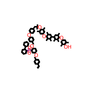 C=Cc1ccc(COc2ccc(OCc3ccc(Oc4ccc(CC(C)(C)Oc5c(C)cc(Oc6c(C)cc(-c7cc(C)c(Oc8cc(C)c(O)c(C)c8)c(C)c7C)c(C)c6C)cc5C)cc4)cc3)c(P3(=O)Oc4ccccc4-c4ccccc43)c2)cc1